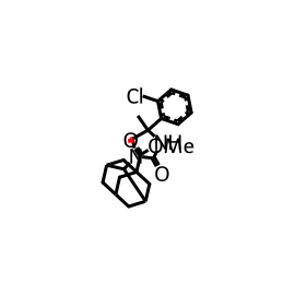 COC(=O)C12CC3CC(C1)C(N1CC(C)(c4ccccc4Cl)NC1=O)C(C3)C2